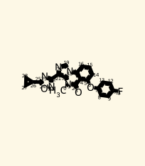 Cn1c(=O)c2c(Oc3ccc(F)cc3)cccc2n2cnc(-c3noc(C4CC4)n3)c12